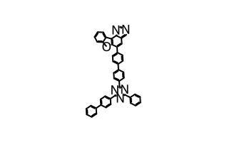 c1ccc(-c2ccc(-c3nc(-c4ccccc4)nc(-c4ccc(-c5ccc(-c6cc7cncnc7c7c6oc6ccccc67)cc5)cc4)n3)cc2)cc1